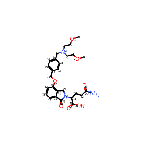 COCCN(CCOC)Cc1ccc(COc2cccc3c2CN(C(CCC(N)=O)C(=O)O)C3=O)cc1